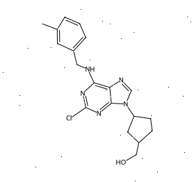 Cc1cccc(CNc2nc(Cl)nc3c2ncn3C2CCC(CO)C2)c1